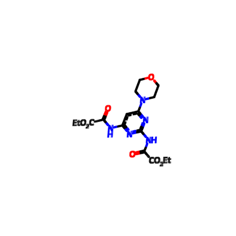 CCOC(=O)C(=O)Nc1cc(N2CCOCC2)nc(NC(=O)C(=O)OCC)n1